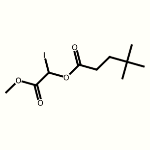 COC(=O)C(I)OC(=O)CCC(C)(C)C